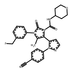 Cc1c(-c2ccnn2-c2ccc(C#N)cc2)n(C(=O)NC2CCOCC2)c(=O)n1-c1cccc(CF)c1